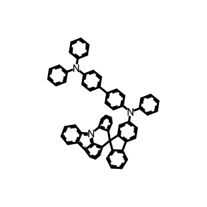 c1ccc(N(c2ccccc2)c2ccc(-c3ccc(N(c4ccccc4)c4ccc5c(c4)C4(c6ccccc6-5)c5ccccc5-n5c6ccccc6c6cccc4c65)cc3)cc2)cc1